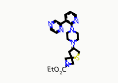 CCOC(=O)N1CC2(C[C@@H](N3CCN(c4ncccc4-c4cnccn4)CC3)CS2)C1